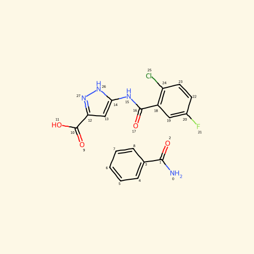 NC(=O)c1ccccc1.O=C(O)c1cc(NC(=O)c2cc(F)ccc2Cl)[nH]n1